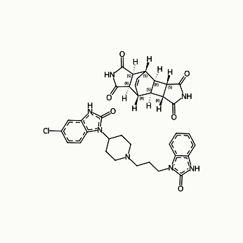 O=C1NC(=O)[C@H]2[C@H]3C=C[C@@H]([C@@H]12)[C@@H]1[C@H]2C(=O)NC(=O)[C@H]2[C@H]31.O=c1[nH]c2ccccc2n1CCCN1CCC(n2c(=O)[nH]c3cc(Cl)ccc32)CC1